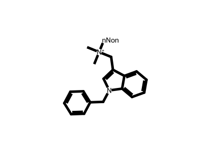 CCCCCCCCC[N+](C)(C)Cc1cn(Cc2ccccc2)c2ccccc12